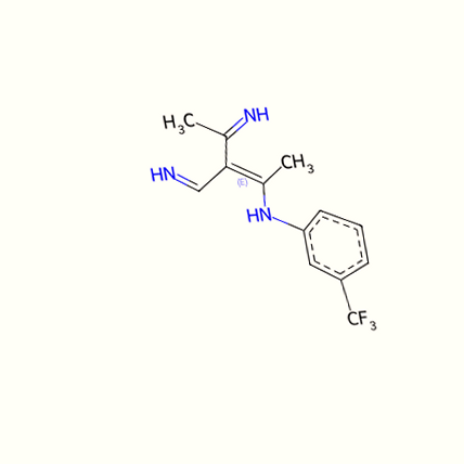 CC(=N)/C(C=N)=C(\C)Nc1cccc(C(F)(F)F)c1